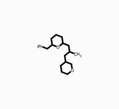 CC(C)CC1CCCC(CC(C)CC2CCCOC2)O1